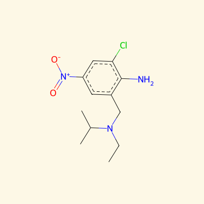 CCN(Cc1cc([N+](=O)[O-])cc(Cl)c1N)C(C)C